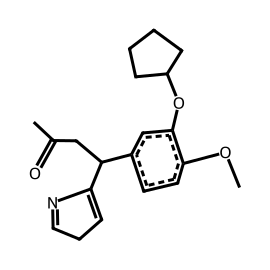 COc1ccc(C(CC(C)=O)C2=CCC=N2)cc1OC1CCCC1